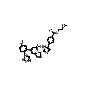 COCCNC(=O)c1ccc(-c2cnc([C@@H]3CCc4cc(-c5cc(Cl)ccc5-n5cnnn5)cc(=O)n43)[nH]2)cc1